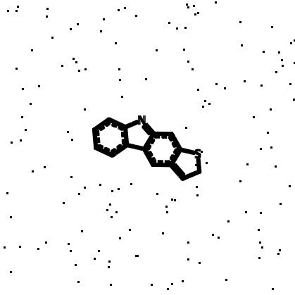 C1=c2cc3c(cc2SC1)=Nc1ccccc1-3